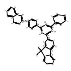 CC1(C)c2ccccc2-c2ccc(-c3nc(-c4ccccc4)nc(-c4ccc(-c5ccc6ccccc6c5)cc4)n3)cc21